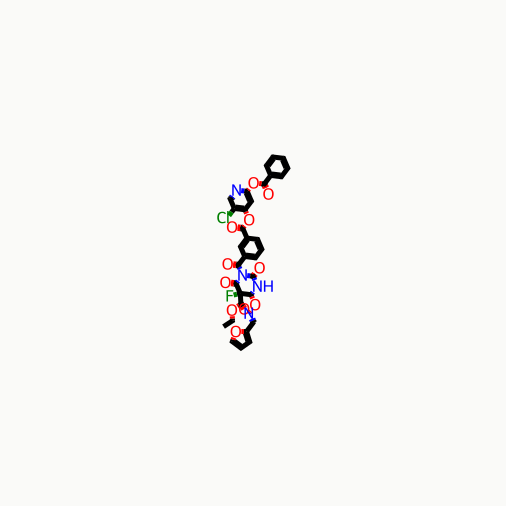 CCOC(=O)C1(F)C(=O)N(C(=O)c2cccc(C(=O)Oc3cc(OC(=O)c4ccccc4)ncc3Cl)c2)C(=O)NC1ON=Cc1ccco1